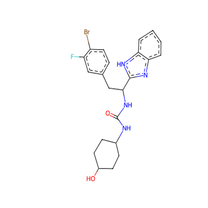 O=C(NC1CCC(O)CC1)NC(Cc1ccc(Br)c(F)c1)c1nc2ccccc2[nH]1